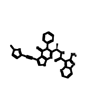 C[C@H](NC(=O)c1c(N)nn2cccnc12)c1nc2occ(C#Cc3ccn(C)n3)c2c(=O)n1-c1ccccc1